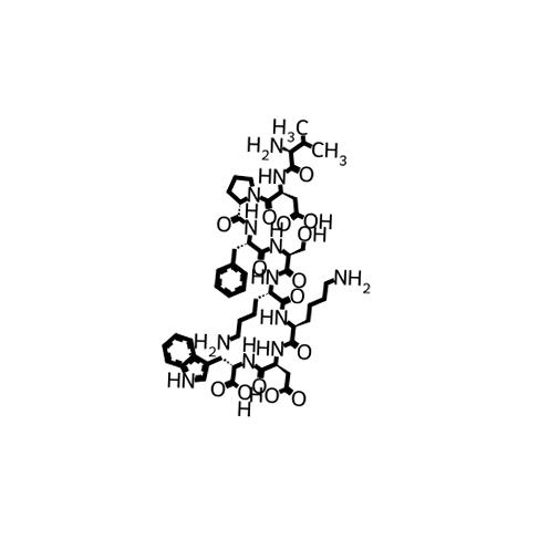 CC(C)[C@H](N)C(=O)N[C@@H](CC(=O)O)C(=O)N1CCC[C@H]1C(=O)N[C@@H](Cc1ccccc1)C(=O)N[C@@H](CO)C(=O)N[C@@H](CCCCN)C(=O)N[C@@H](CCCCN)C(=O)N[C@@H](CC(=O)O)C(=O)N[C@@H](Cc1c[nH]c2ccccc12)C(=O)O